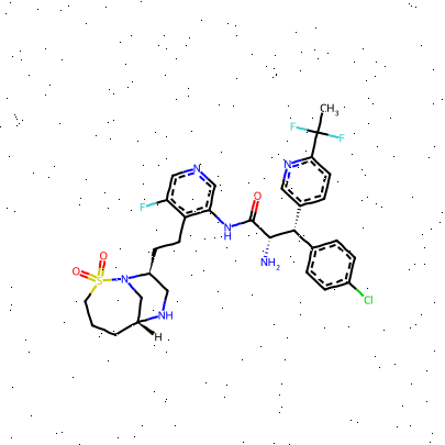 CC(F)(F)c1ccc([C@H](c2ccc(Cl)cc2)[C@H](N)C(=O)Nc2cncc(F)c2CC[C@H]2CN[C@@H]3CCCS(=O)(=O)N2C3)cn1